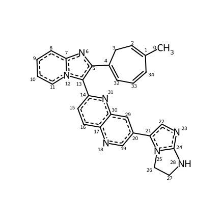 CC1=CCC(c2nc3ccccn3c2-c2ccc3ncc(-c4cnc5n4CCN5)cc3n2)=CC=C1